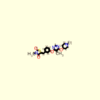 CCN1CCC(Oc2ncnc(Oc3cccc(/C=C4\SC(=O)N(C)C4=O)c3)c2C)CC1